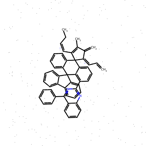 C=C/C=C1\C(=C)C(C)=C(/C=C\CC)C12c1ccccc1C1(c3ccccc3-c3ccccc31)c1c(-c3nc(-c4ccccc4)c4ccccc4n3)cccc12